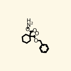 NOC(=O)C1(C(=O)OCc2ccccc2)CCCCC1